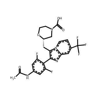 CC(=O)Nc1cc(F)c(-c2nc3cc(C(F)(F)F)ccn3c2C[C@H]2CN(C(=O)O)CCO2)c(F)c1